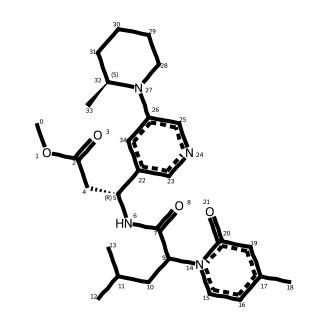 COC(=O)C[C@@H](NC(=O)C(CC(C)C)n1ccc(C)cc1=O)c1cncc(N2CCCC[C@@H]2C)c1